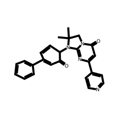 CC1(C)Cn2c(nc(-c3ccncc3)cc2=O)N1C1C=CC(c2ccccc2)=CC1=O